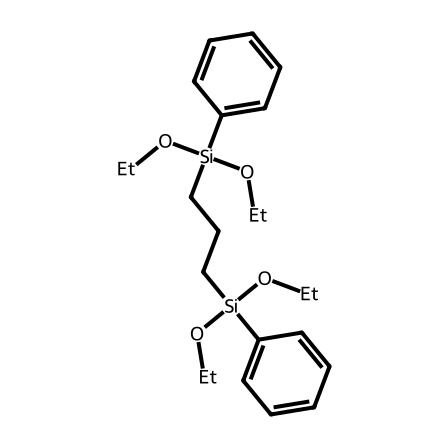 CCO[Si](CCC[Si](OCC)(OCC)c1ccccc1)(OCC)c1ccccc1